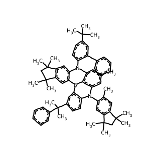 Cc1cc2c3c(c1)N(c1ccc(C(C)(C)C)cc1-c1ccccc1)c1cc4c(cc1B3c1cc(C(C)(C)c3ccccc3)ccc1N2c1cc2c(cc1C)C(C)(C)CC2(C)C)C(C)(C)CC4(C)C